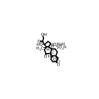 C[C@]12CCC(=O)C=C1CC[C@@H]1[C@@H]2C(=O)C[C@@]2(C)[C@H]1CC[C@]2(O)C(=O)CO.O=S(=O)(O)O.[NaH]